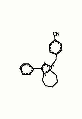 N#Cc1ccc(C[n+]2cc(-c3ccccc3)n3c2CCCCC3)cc1